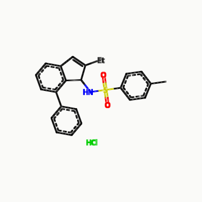 CCC1=Cc2cccc(-c3ccccc3)c2C1NS(=O)(=O)c1ccc(C)cc1.Cl